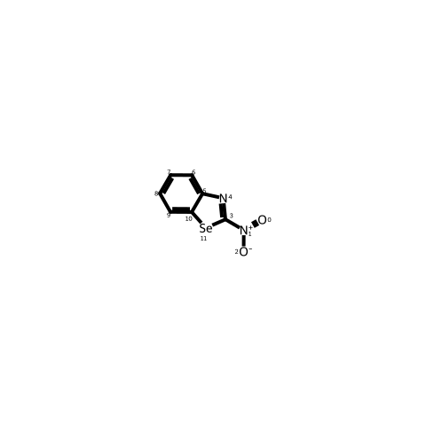 O=[N+]([O-])c1nc2ccccc2[se]1